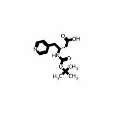 CC(C)(C)OC(=O)N[C@@H](CC(=O)O)Cc1ccncc1